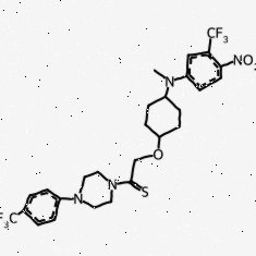 CN(c1ccc([N+](=O)[O-])c(C(F)(F)F)c1)C1CCC(OCC(=S)N2CCN(c3ccc(C(F)(F)F)cc3)CC2)CC1